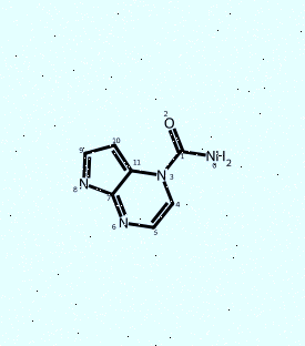 NC(=O)n1ccnc2nccc1-2